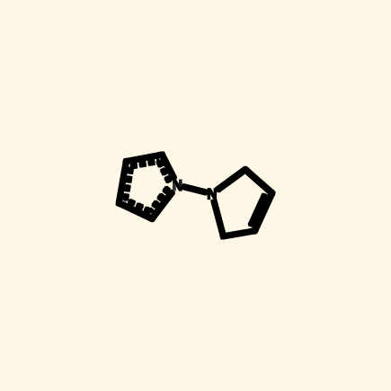 C1=CCN(n2cccc2)C1